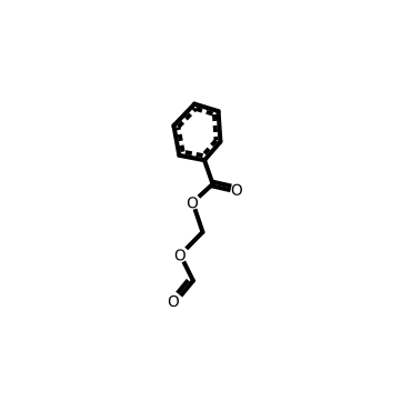 O=COCOC(=O)c1ccccc1